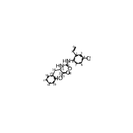 C=Cc1cc(Cl)ccc1NC(=O)NC(Cc1ccccc1)C(=O)O